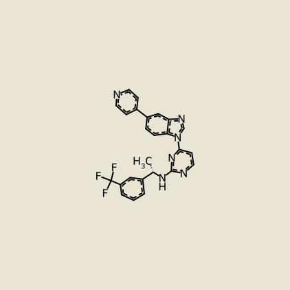 C[C@H](Nc1nccc(-n2cnc3cc(-c4ccncc4)ccc32)n1)c1cccc(C(F)(F)F)c1